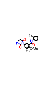 CCc1ccccc1NC(=O)c1cc(N2C(=O)CCNC2=O)cc(C(C)(C)C)c1OC